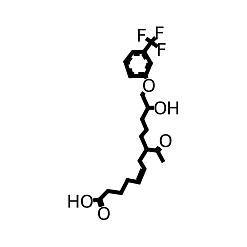 CC(=O)C(C/C=C\CCCC(=O)O)CCCC(O)COc1cccc(C(F)(F)F)c1